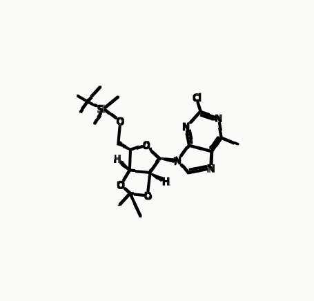 Cc1nc(Cl)nc2c1ncn2[C@@H]1O[C@H](CO[Si](C)(C)C(C)(C)C)[C@H]2OC(C)(C)O[C@H]21